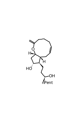 C=C1CCC/C=C\C[C@@H]2[C@@H](CC[C@@H](O)CCCCC)[C@H](O)C[C@@H]2O1